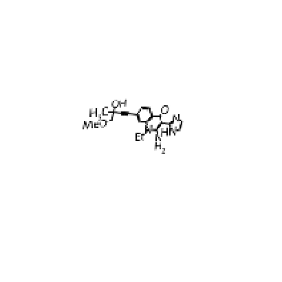 CCn1c(N)c(-c2ncc[nH]2)c(=O)c2ccc(C#CC(C)(O)COC)cc21